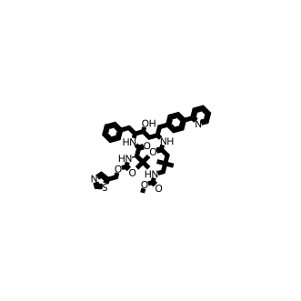 COC(=O)NCC(C)(C)CC(=O)NC(Cc1ccc(-c2ccccn2)cc1)CC(O)C(Cc1ccccc1)NC(=O)[C@@H](NC(=O)OCc1cncs1)C(C)(C)C